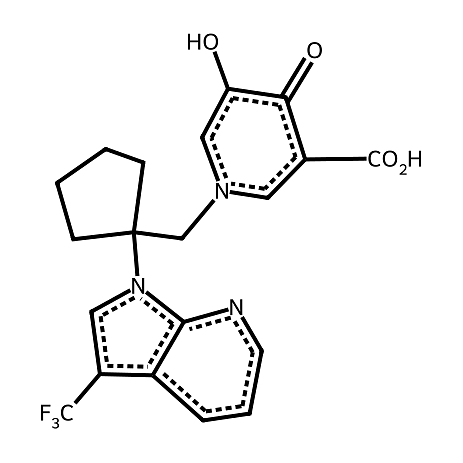 O=C(O)c1cn(CC2(n3cc(C(F)(F)F)c4cccnc43)CCCC2)cc(O)c1=O